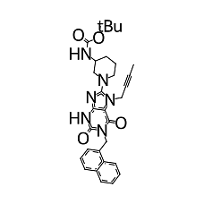 CC#CCn1c(N2CCCC(NC(=O)OC(C)(C)C)C2)nc2[nH]c(=O)n(Cc3cccc4ccccc34)c(=O)c21